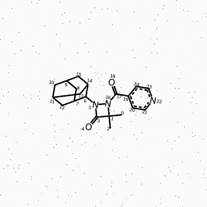 CC1(C)C(=O)N(C2C3CC4CC(C3)CC2C4)N1C(=O)c1ccncc1